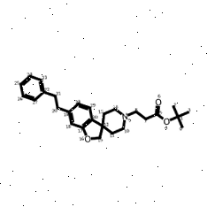 CC(C)(C)OC(=O)CCN1CCC2(CC1)COc1cc(CCc3ccccc3)ccc12